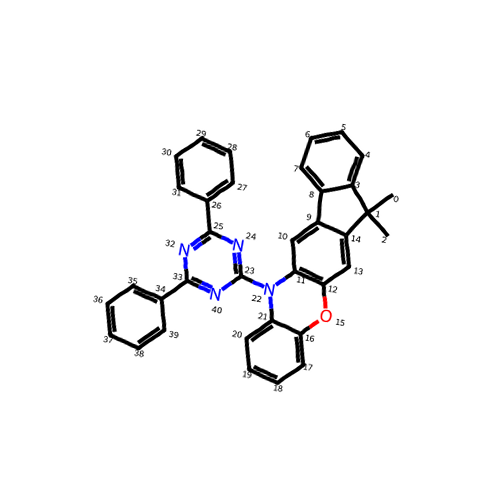 CC1(C)c2ccccc2-c2cc3c(cc21)Oc1ccccc1N3c1nc(-c2ccccc2)nc(-c2ccccc2)n1